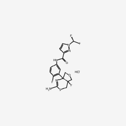 Cl.NC1=NC2(c3cc(NC(=O)c4ccn(C(F)F)n4)ccc3F)COCC2(F)CS1